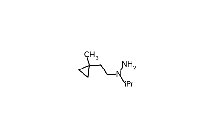 CC(C)N(N)CCC1(C)CC1